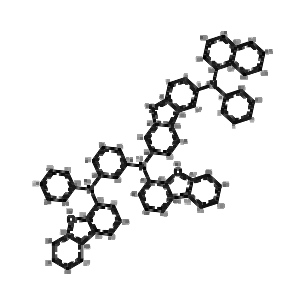 c1ccc(N(c2ccc3sc4cc(N(c5cccc(N(c6ccccc6)c6cccc7c6oc6ccccc67)c5)c5cccc6c5oc5ccccc56)ccc4c3c2)c2cccc3ccccc23)cc1